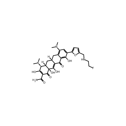 CN(C)c1cc(-c2ccc(CNCCF)o2)c(O)c2c1C[C@H]1C[C@H]3[C@H](N(C)C)C(O)=C(C(N)=O)C(=O)[C@@]3(O)C(O)=C1C2=O